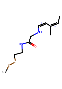 C/C=C(C)\C=C/NCC(=O)NCCSSCCC